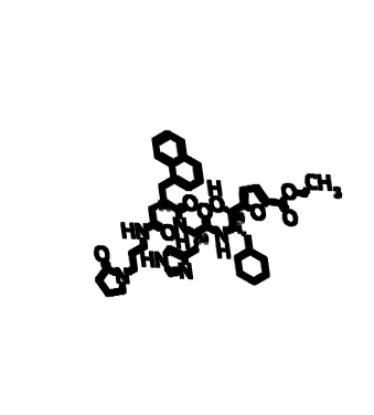 CCOC(=O)c1ccc([C@H](O)[C@H](CC2CCCCC2)NC(=O)[C@H](Cc2c[nH]cn2)NC(=O)[C@@H](CC(=O)NCCCN2CCCC2=O)Cc2cccc3ccccc23)o1